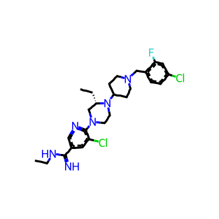 CCNC(=N)c1cnc(N2CCN(C3CCN(Cc4ccc(Cl)cc4F)CC3)[C@@H](CC)C2)c(Cl)c1